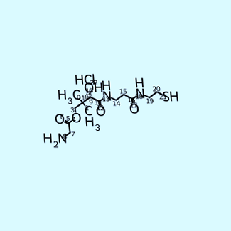 CC(C)(COC(=O)CN)[C@@H](O)C(=O)NCCC(=O)NCCS.Cl